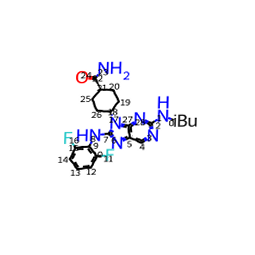 CCC(C)Nc1ncc2nc(Nc3c(F)cccc3F)n([C@H]3CC[C@H](C(N)=O)CC3)c2n1